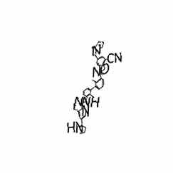 Cc1c(Nc2nccc3cc(C4CCCN4)cnc23)cccc1-c1cccc(-c2nc3cc(CN4CCCC4)cc(C#N)c3o2)c1C